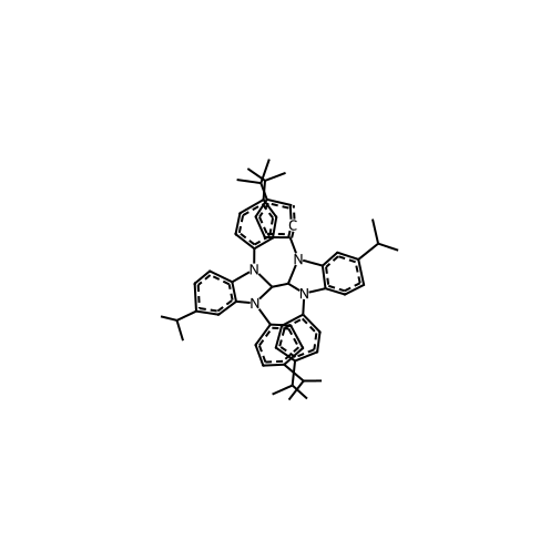 CC(C)c1ccc(N2c3ccc(C(C)C)cc3N(c3ccc(C(C)C)cc3)C2C2N(c3ccc(C(C)C)cc3)c3ccc(C(C)C)cc3N2c2ccc(C(C)C)cc2)cc1